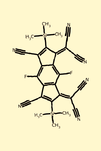 C[Si](C)(C)C1=C(C#N)c2c(F)c3c(c(F)c2C1=C(C#N)C#N)C(=C(C#N)C#N)C([Si](C)(C)C)=C3C#N